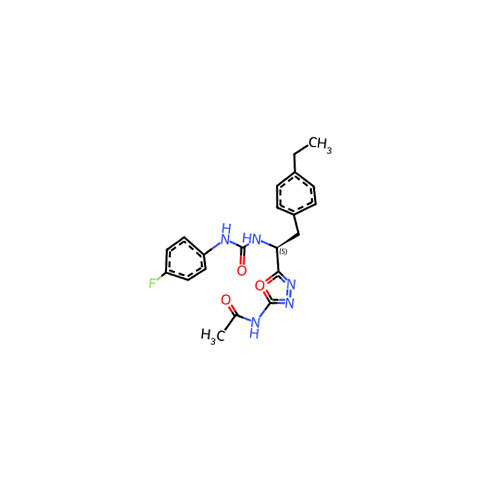 CCc1ccc(C[C@H](NC(=O)Nc2ccc(F)cc2)c2nnc(NC(C)=O)o2)cc1